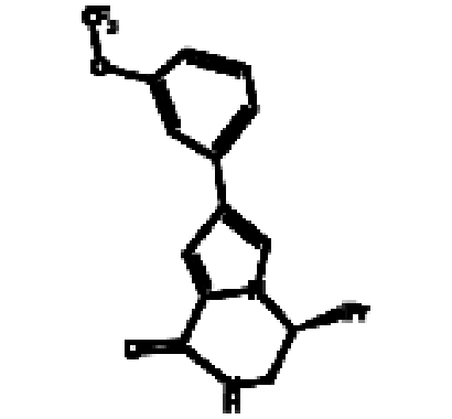 CC(C)[C@H]1CNC(=O)c2cc(-c3cccc(OC(F)(F)F)c3)cn21